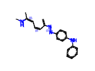 C=C(/C=C\C=C(\C)NC)/N=N/c1ccc(Nc2ccccc2)cc1